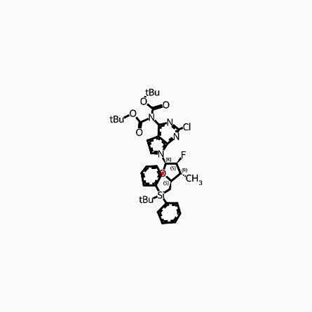 C[C@H]1[C@H](F)[C@H](n2ccc3c(N(C(=O)OC(C)(C)C)C(=O)OC(C)(C)C)nc(Cl)nc32)O[C@@H]1C[Si](c1ccccc1)(c1ccccc1)C(C)(C)C